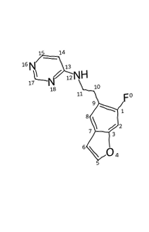 Fc1cc2occc2cc1CCNc1ccncn1